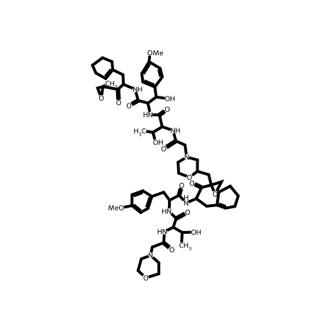 COc1ccc(CC(NC(=O)C(NC(=O)CN2CCOCC2)C(C)O)C(=O)NC(CC2=CCCCC2)C(=O)C2(CC3CN(CC(=O)NC(C(=O)NC(C(=O)NC(CC4=CCCCC4)C(=O)C4(C)CO4)C(O)c4ccc(OC)cc4)C(C)O)CCO3)CO2)cc1